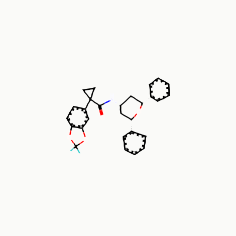 O=C(N[C@H]1C[C@@H](c2ccccc2)O[C@@H](c2ccccc2)C1)C1(c2ccc3c(c2)OC(F)(F)O3)CC1